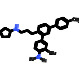 CCOC(=O)c1ccc(-c2ccc(CCCNC3CCCC3)c(-c3ccc(N(CC)CC)c(C(C)(C)C)c3)c2)cc1